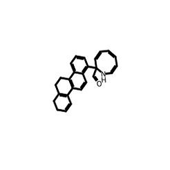 O=CC1(c2cccc3c4c(ccc23)C2=C(CCC=C2)CC4)C=CC=CC=CN1